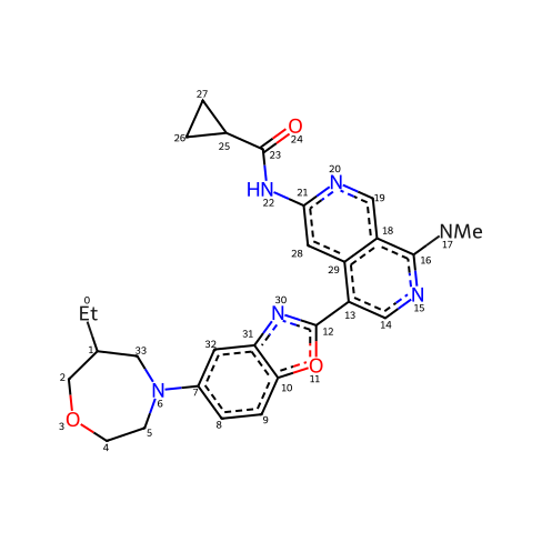 CCC1COCCN(c2ccc3oc(-c4cnc(NC)c5cnc(NC(=O)C6CC6)cc45)nc3c2)C1